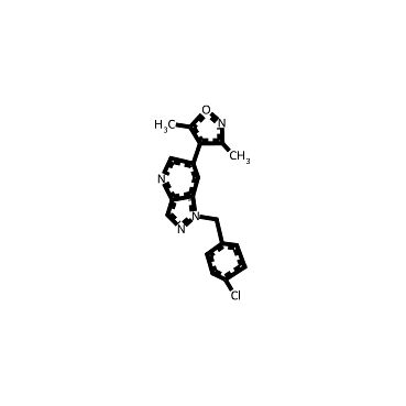 Cc1noc(C)c1-c1cnc2cnn(Cc3ccc(Cl)cc3)c2c1